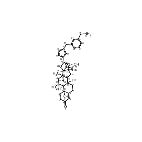 C[C@]12C=CC(=O)C=C1CC[C@@H]1[C@@H]2[C@@H](O)C[C@@]2(C)[C@H]1C[C@H]1O[C@@H](c3ccn(Cc4cccc(CN)c4)c3)O[C@]12C(=O)CO